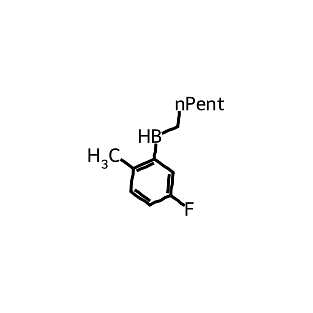 CCCCCCBc1cc(F)ccc1C